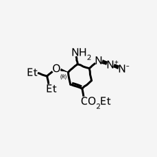 CCOC(=O)C1=C[C@@H](OC(CC)CC)C(N)C(N=[N+]=[N-])C1